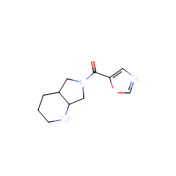 O=C(c1cnco1)N1CC2CCCNC2C1